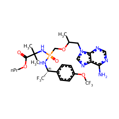 CCCOC(=O)C(C)(C)NP(=O)(COC(C)Cn1cnc2c(N)ncnc21)N[C@H](c1ccc(OC(F)(F)F)cc1)C(F)(F)F